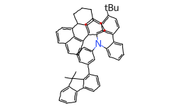 CC(C)(C)c1ccc(-c2ccccc2N(c2cccc(-c3cccc4c3C(C)(C)c3ccccc3-4)c2)c2ccccc2-c2cccc3cccc(C4CCCCC4)c23)cc1